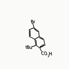 CC(C)(C)c1c(C(=O)O)ccc2cc(Br)ccc12